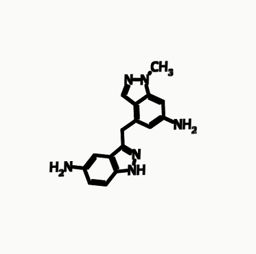 Cn1ncc2c(Cc3n[nH]c4ccc(N)cc34)cc(N)cc21